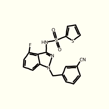 N#Cc1cccc(Cn2nc(NS(=O)(=O)c3cccs3)c3c(F)cccc32)c1